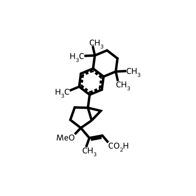 COC1(C(C)=CC(=O)O)CCC2(c3cc4c(cc3C)C(C)(C)CCC4(C)C)CC12